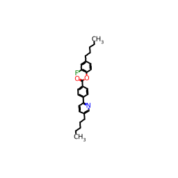 CCCCCc1ccc(-c2ccc(C(=O)Oc3ccc(CCCCC)cc3F)cc2)nc1